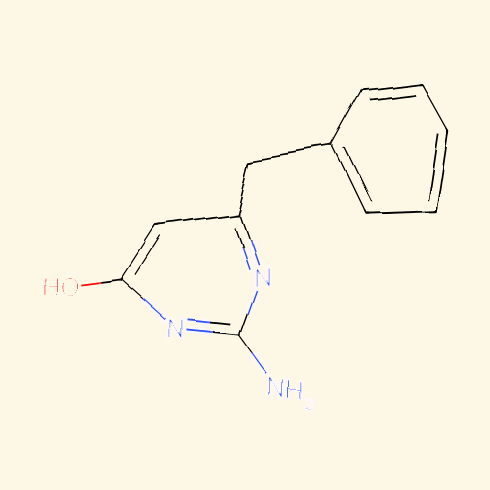 Nc1nc(O)cc(Cc2ccccc2)n1